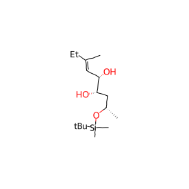 CC/C(C)=C/[C@H](O)[C@@H](O)C[C@H](C)O[Si](C)(C)C(C)(C)C